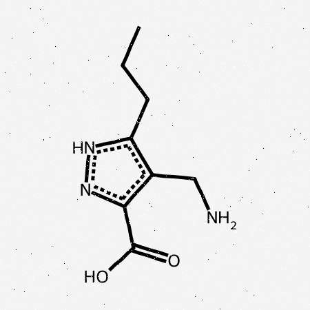 CCCc1[nH]nc(C(=O)O)c1CN